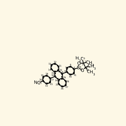 CC1(C)OB(c2ccc(-c3c4ccccc4c(-c4ccc(C#N)cc4)c4ccccc34)cc2)OC1(C)C